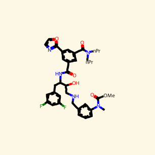 CCCN(CCC)C(=O)c1cc(C(=O)NC(Cc2cc(F)cc(F)c2)C(O)CNCc2cccc(N(C)C(=O)OC)c2)cc(-c2ncco2)c1